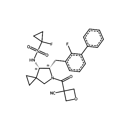 N#CC1(C(=O)N2CC3(CC3)[C@H](NS(=O)(=O)C3(F)CC3)[C@@H]2Cc2cccc(-c3ccccc3)c2F)COC1